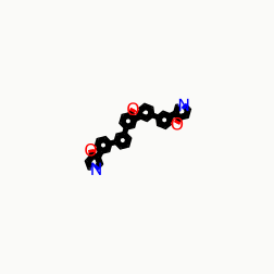 c1cc(-c2ccc3oc4ccncc4c3c2)cc(-c2ccc3oc4ccc(-c5ccc6oc7ccncc7c6c5)cc4c3c2)c1